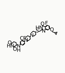 O=C1CCC(Nc2ccc(N3CCC(N4CCC(SCc5nc6cc(OCC7CC7)cc(F)c6c(=O)[nH]5)CC4)CC3)c(C(F)(F)F)c2)C(=O)N1